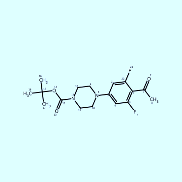 CC(=O)c1c(F)cc(N2CCN(C(=O)OC(C)(C)C)CC2)cc1F